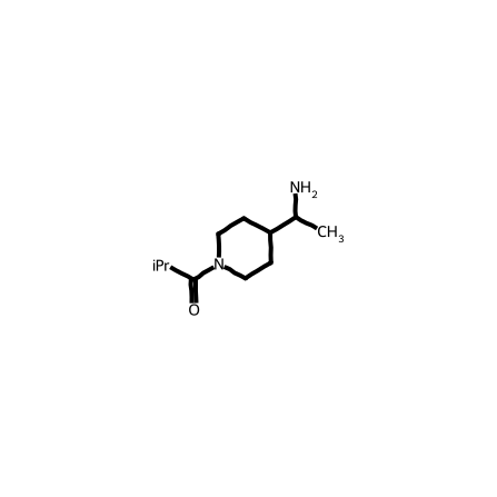 CC(C)C(=O)N1CCC(C(C)N)CC1